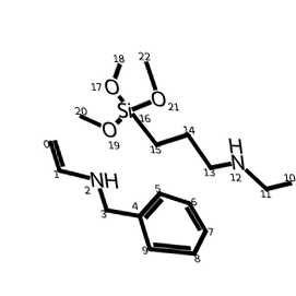 C=CNCc1ccccc1.CCNCCC[Si](OC)(OC)OC